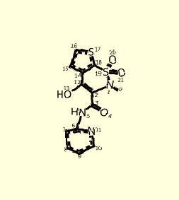 CN1C(C(=O)Nc2ccccn2)=C(O)c2ccsc2S1(=O)=O